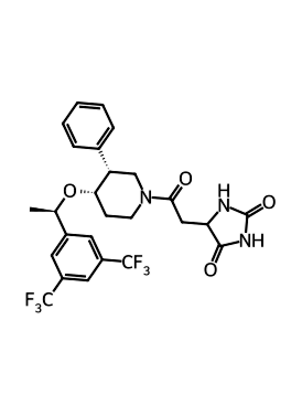 C[C@@H](O[C@H]1CCN(C(=O)CC2NC(=O)NC2=O)C[C@H]1c1ccccc1)c1cc(C(F)(F)F)cc(C(F)(F)F)c1